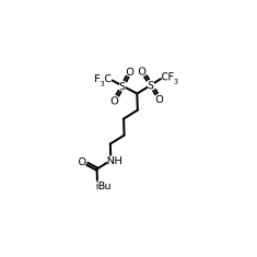 CCC(C)C(=O)NCCCCC(S(=O)(=O)C(F)(F)F)S(=O)(=O)C(F)(F)F